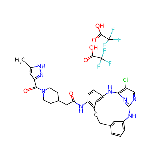 Cc1cc(C(=O)N2CCC(CC(=O)Nc3ccc4cc3CCc3cccc(c3)Nc3ncc(Cl)c(n3)N4)CC2)n[nH]1.O=C(O)C(F)(F)F.O=C(O)C(F)(F)F